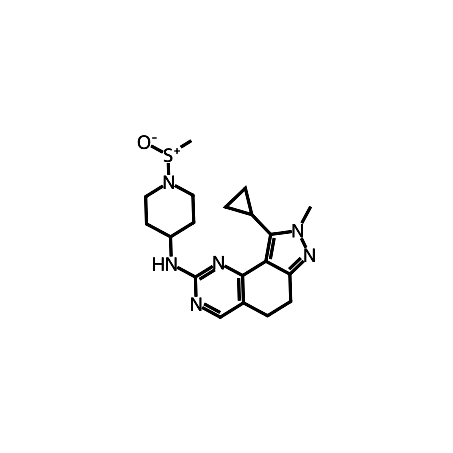 Cn1nc2c(c1C1CC1)-c1nc(NC3CCN([S+](C)[O-])CC3)ncc1CC2